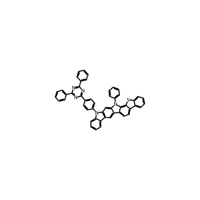 c1ccc(-c2nc(-c3ccccc3)nc(-c3ccc(-n4c5ccccc5c5cc6c7ccc8c9ccccc9sc8c7n(-c7ccccc7)c6cc54)cc3)n2)cc1